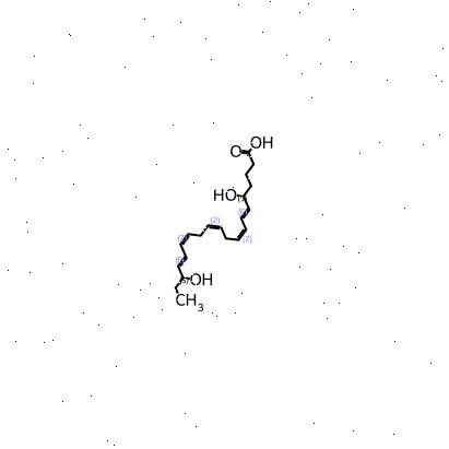 CC[C@H](O)/C=C/C=C\C/C=C\C/C=C\C=C\[C@@H](O)CCCC(=O)O